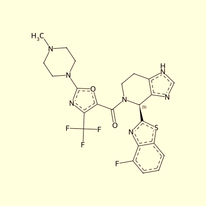 CN1CCN(c2nc(C(F)(F)F)c(C(=O)N3CCc4[nH]cnc4[C@H]3c3nc4c(F)cccc4s3)o2)CC1